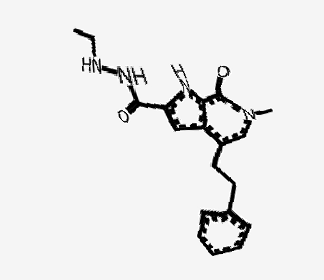 CCNNC(=O)c1cc2c(CCc3ccccc3)cn(C)c(=O)c2[nH]1